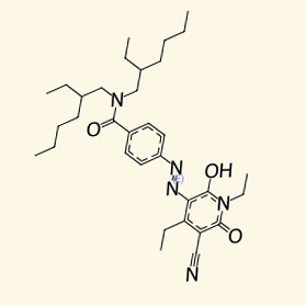 CCCCC(CC)CN(CC(CC)CCCC)C(=O)c1ccc(/N=N/c2c(CC)c(C#N)c(=O)n(CC)c2O)cc1